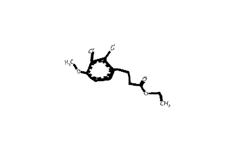 CCOC(=O)CCc1ccc(OC)c(Cl)c1Cl